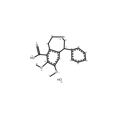 COc1cc2c(c(C(=O)O)c1OC)CCNCC2c1ccccc1.Cl